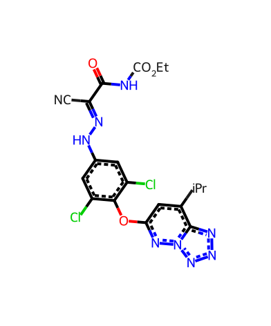 CCOC(=O)NC(=O)/C(C#N)=N/Nc1cc(Cl)c(Oc2cc(C(C)C)c3nnnn3n2)c(Cl)c1